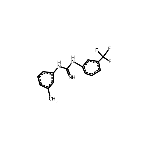 Cc1cccc(NC(=N)Nc2cccc(C(F)(F)F)c2)c1